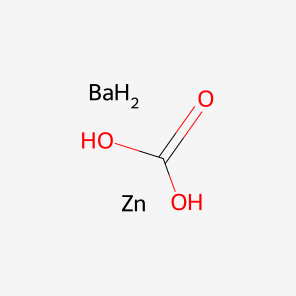 O=C(O)O.[BaH2].[Zn]